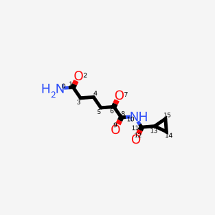 NC(=O)CCCC(=O)C(=O)NC(=O)C1CC1